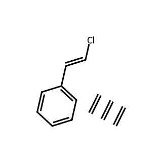 C=C.C=C.C=C.ClC=Cc1ccccc1